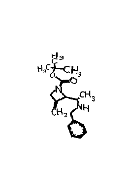 C=C1CN(C(=O)OC(C)(C)C)C1[C@@H](C)NCc1ccccc1